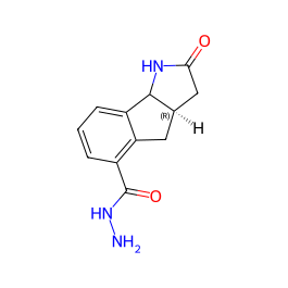 NNC(=O)c1cccc2c1C[C@@H]1CC(=O)NC21